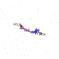 N#Cc1ccc(CCNC(=O)[C@@H]2CCN2c2cc(N3CCC(CCCC(=O)NCCOCCNS(=O)(=O)c4ccc(C(=O)O)cc4)CC3)nc(C(F)(F)F)n2)cc1